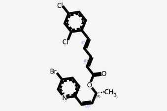 C[C@H](/C=C\c1ccc(Br)cn1)OC(=O)/C=C/C=C/c1ccc(Cl)cc1Cl